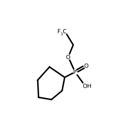 O=P(O)(OCC(F)(F)F)C1CCCCC1